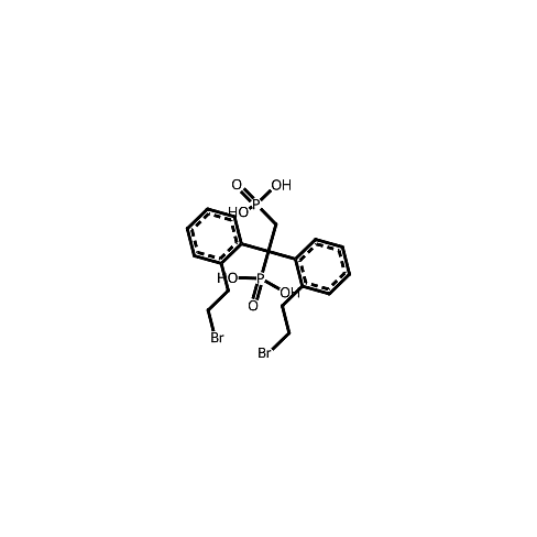 O=P(O)(O)CC(c1ccccc1CCBr)(c1ccccc1CCBr)P(=O)(O)O